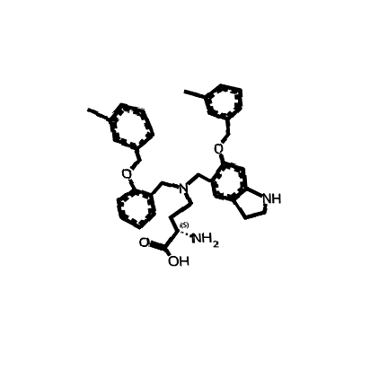 Cc1cccc(COc2ccccc2CN(CC[C@H](N)C(=O)O)Cc2cc3c(cc2OCc2cccc(C)c2)NCC3)c1